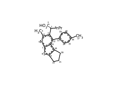 CCCC(C(=O)O)c1c(C)nc2sc3c(c2c1-c1ccc(C)cc1)CCC3